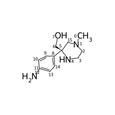 CN1CCN[C@](CO)(c2ccc(N)cc2)C1